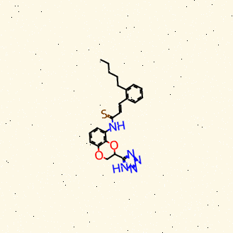 CCCCCc1ccccc1C=CC(=S)Nc1cccc2c1OC(c1nnn[nH]1)CO2